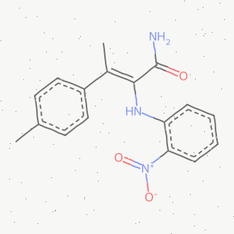 CC(=C(Nc1ccccc1[N+](=O)[O-])C(N)=O)c1ccc(C)cc1